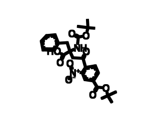 CC(C)(C)OC(=O)NC(CC(=O)c1ccc(C(=O)OC(C)(C)C)cc1[N+](=O)[O-])(Cc1ccccc1)C(=O)O